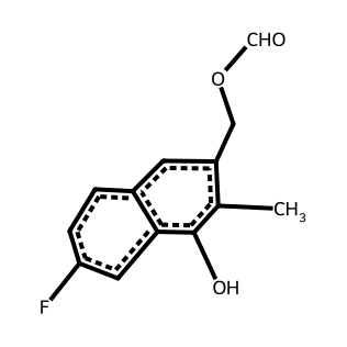 Cc1c(COC=O)cc2ccc(F)cc2c1O